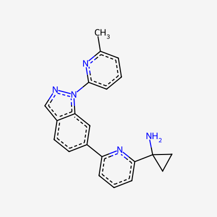 Cc1cccc(-n2ncc3ccc(-c4cccc(C5(N)CC5)n4)cc32)n1